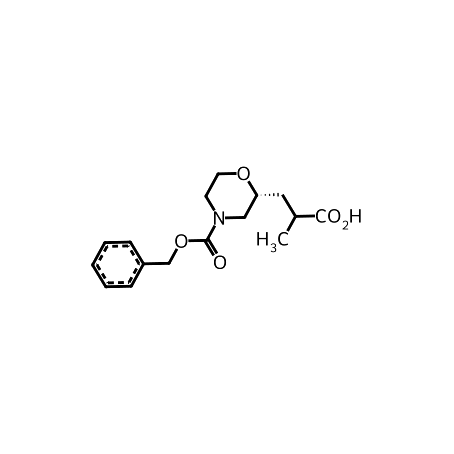 CC(C[C@@H]1CN(C(=O)OCc2ccccc2)CCO1)C(=O)O